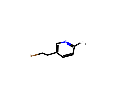 FC(F)(F)c1ccc(CCBr)cn1